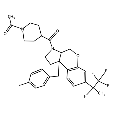 CC(=O)N1CCC(C(=O)N2CCC3(Cc4ccc(F)cc4)c4ccc(C(C)(F)C(F)(F)F)cc4OCC23)CC1